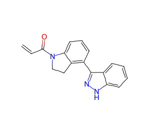 C=CC(=O)N1CCc2c(-c3n[nH]c4ccccc34)cccc21